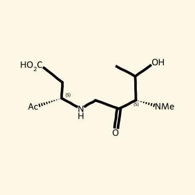 CN[C@H](C(=O)CN[C@@H](CC(=O)O)C(C)=O)C(C)O